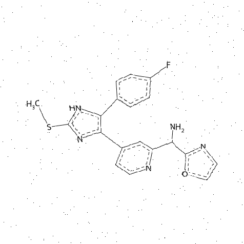 CSc1nc(-c2ccnc(C(N)c3ncco3)c2)c(-c2ccc(F)cc2)[nH]1